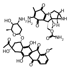 CO[C@@]12[C@H](COC(N)=O)C3=C(C(=O)C(C)=C(N)C3=O)N1C[C@@H]1N[C@@H]12.COc1cccc2c1C(=O)c1c(O)c3c(c(O)c1C2=O)C[C@@](O)(C(C)=O)C[C@@H]3O[C@H]1C[C@H](N)[C@H](O)[C@H](C)O1